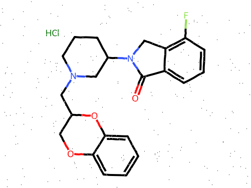 Cl.O=C1c2cccc(F)c2CN1C1CCCN(CC2COc3ccccc3O2)C1